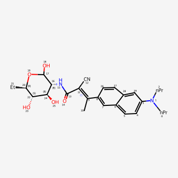 CCCN(CCC)c1ccc2cc(/C(C)=C(\C#N)C(=O)N[C@H]3C(O)O[C@H](CC)[C@@H](O)[C@@H]3O)ccc2c1